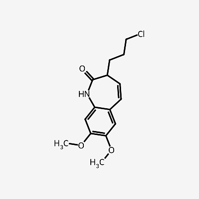 COc1cc2c(cc1OC)NC(=O)C(CCCCl)C=C2